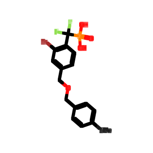 CSc1ccc(COCc2ccc(C(F)(F)P(=O)(O)O)c(Br)c2)cc1